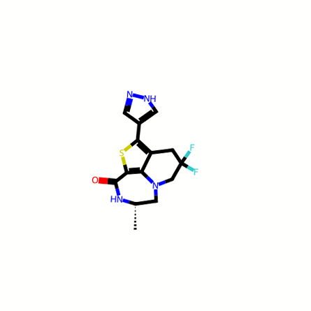 C[C@H]1CN2CC(F)(F)Cc3c(-c4cn[nH]c4)sc(c32)C(=O)N1